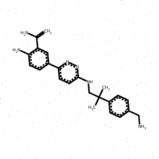 C=C(N)c1cc(-c2ccc(NCC(C)(C)c3ccc(CN)cc3)nn2)ccc1N